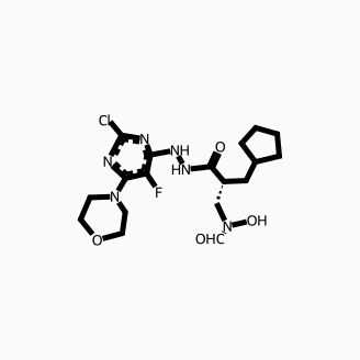 O=CN(O)C[C@@H](CC1CCCC1)C(=O)NNc1nc(Cl)nc(N2CCOCC2)c1F